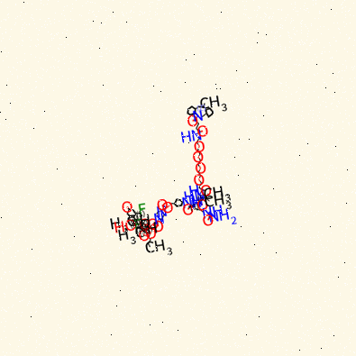 CCCC1O[C@@H]2C[C@H]3C4C[C@H](F)C5=CC(=O)C=C[C@]5(C)[C@@]4(F)[C@@H](O)C[C@]3(C)[C@]2(C(=O)COC(=O)N2CCN(C(=O)OCc3ccc(NC(=O)[C@H](CCCNC(N)=O)NC(=O)[C@@H](NC(=O)CCOCCOCCOCCOCCNC(=O)CCC(=O)N4Cc5ccccc5/C(C)=C\c5ccccc54)C(C)C)cc3)CC2)O1